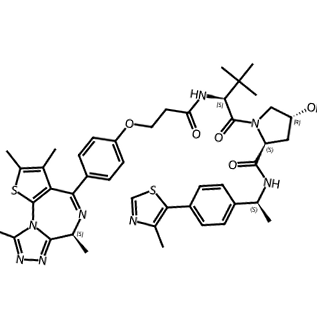 Cc1ncsc1-c1ccc([C@H](C)NC(=O)[C@@H]2C[C@@H](O)CN2C(=O)[C@@H](NC(=O)CCOc2ccc(C3=N[C@@H](C)c4nnc(C)n4-c4sc(C)c(C)c43)cc2)C(C)(C)C)cc1